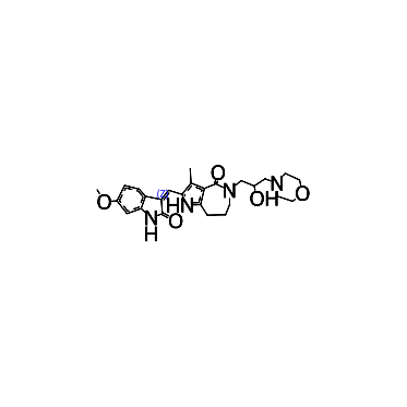 COc1ccc2c(c1)NC(=O)/C2=C\c1[nH]c2c(c1C)C(=O)N(CC(O)CN1CCOCC1)CCC2